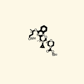 COCC[C@@H](C)Oc1nc([C@@H](C)N(C(=O)[C@H]2CN(C(=O)OC(C)(C)C)CCO2)C2CC2)nc2ccccc12